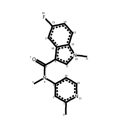 Cc1cc(N(C)C(=O)c2cn(C)c3ccc(F)cc23)ccn1